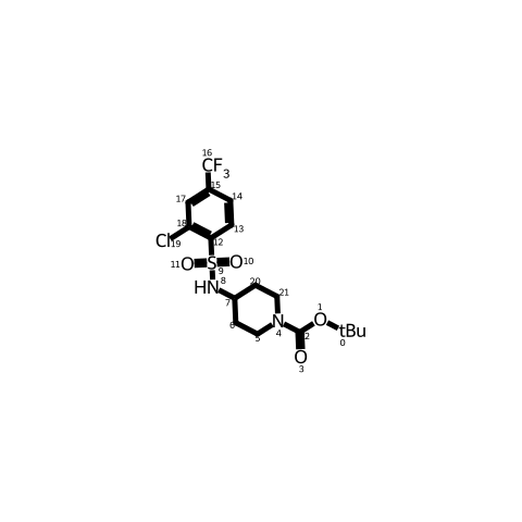 CC(C)(C)OC(=O)N1CCC(NS(=O)(=O)c2ccc(C(F)(F)F)cc2Cl)CC1